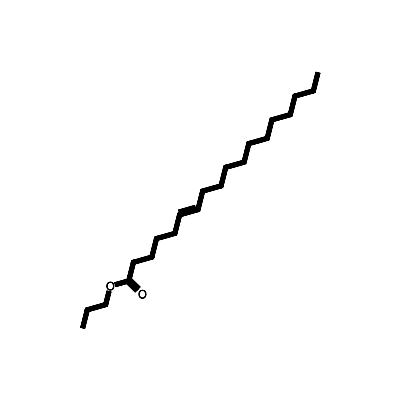 CCCCCCCCCCCC=CCCCCC(=O)OCCC